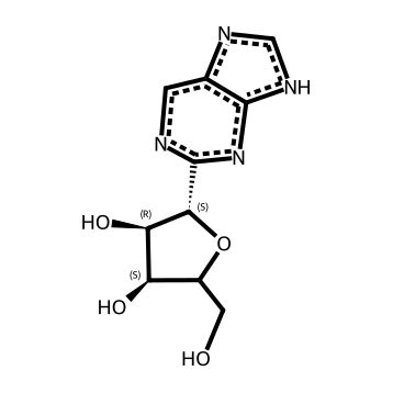 OCC1O[C@@H](c2ncc3nc[nH]c3n2)[C@H](O)[C@@H]1O